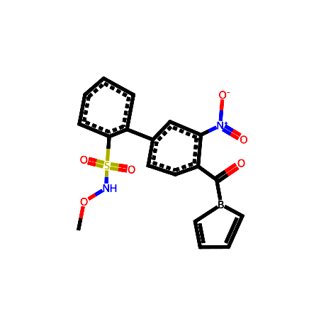 CONS(=O)(=O)c1ccccc1-c1ccc(C(=O)B2C=CC=C2)c([N+](=O)[O-])c1